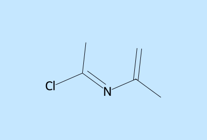 C=C(C)/N=C(\C)Cl